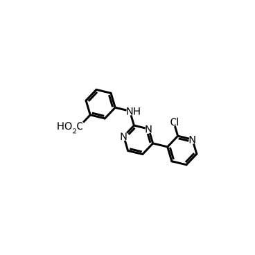 O=C(O)c1cccc(Nc2nccc(-c3cccnc3Cl)n2)c1